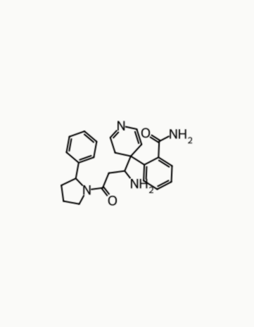 NC(=O)c1ccccc1C1(C(N)CC(=O)N2CCCC2c2ccccc2)C=CN=CC1